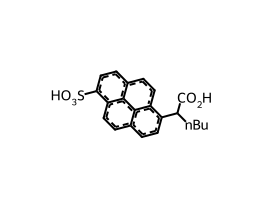 CCCCC(C(=O)O)c1ccc2ccc3c(S(=O)(=O)O)ccc4ccc1c2c43